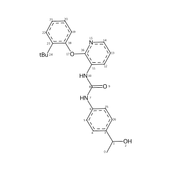 CC(O)c1ccc(NC(=O)Nc2cccnc2Oc2ccccc2C(C)(C)C)cc1